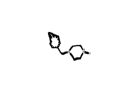 O=[PH]1CCN(Cc2ccccc2)CC1